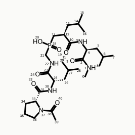 CNC(=O)[C@H](CC(C)C)NC(=O)[C@H](CC(C)C)CP(=O)(O)CNC(=O)[C@H](CC(C)C)NC(=O)[C@H]1CCCN1C(C)=O